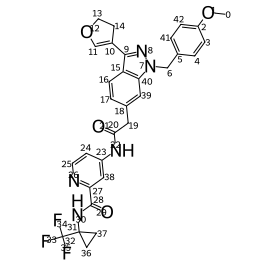 COc1ccc(Cn2nc(C3=COCC3)c3ccc(CC(=O)Nc4ccnc(C(=O)NC5(C(F)(F)F)CC5)c4)cc32)cc1